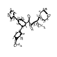 Cc1ccc(-c2cc(C(=O)N[C@H](C)CN3CCOCC3)cc(-c3cncs3)c2)cc1